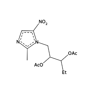 CCC(OC(C)=O)C(Cn1c([N+](=O)[O-])cnc1C)OC(C)=O